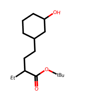 CCC(CCC1CCCC(O)C1)C(=O)OC(C)(C)C